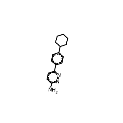 Nc1ccc(-c2ccc(C3CCCCC3)cc2)nn1